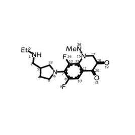 CCNCC1CCN(c2c(F)cc3c(c2F)N(NC)CC(=O)C3=O)C1